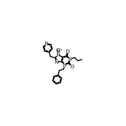 CCCn1c(=O)c2c(n(CCc3ccccc3)c1=O)N=C(Cc1ccncc1)[NH+]2[O-]